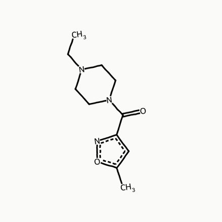 CCN1CCN(C(=O)c2cc(C)on2)CC1